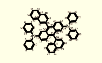 c1ccc(N(c2ccccc2)c2ccc3c(-c4cccc5ccccc45)c4cc(N(c5ccccc5)c5ccccc5)ccc4c(-c4ccc5ccccc5c4)c3c2)cc1